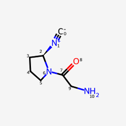 [C-]#[N+][C@@H]1CCCN1C(=O)CN